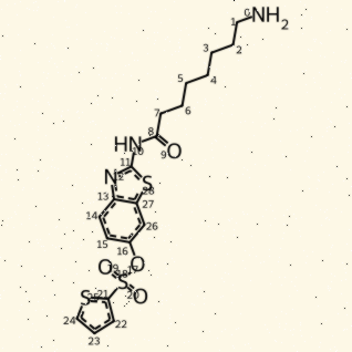 NCCCCCCCC(=O)Nc1nc2ccc(OS(=O)(=O)c3cccs3)cc2s1